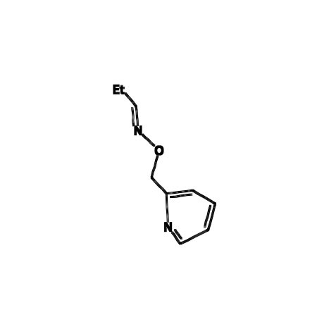 CC/C=N/OCc1ccccn1